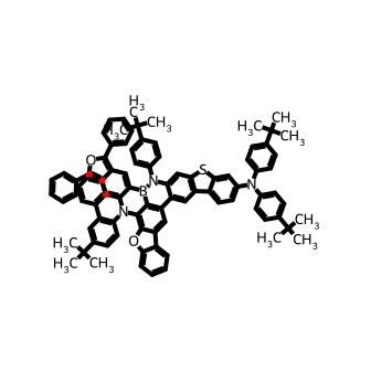 CC(C)(C)c1ccc(N2B3c4cc5c(-c6ccccc6)oc(-c6ccccc6)c5cc4N(c4ccc(C(C)(C)C)cc4-c4ccccc4)c4c3c(cc3c4oc4ccccc43)-c3cc4c(cc32)sc2cc(N(c3ccc(C(C)(C)C)cc3)c3ccc(C(C)(C)C)cc3)ccc24)cc1